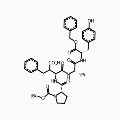 CC(C)[C@H](NC(=O)[C@@H](NC(=O)[C@@H]1CCCN1C(=O)OC(C)(C)C)C(Cc1ccccc1)C(=O)O)C(=O)N[C@@H](Cc1ccc(O)cc1)C(=O)OCc1ccccc1